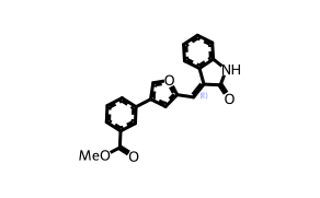 COC(=O)c1cccc(-c2coc(/C=C3/C(=O)Nc4ccccc43)c2)c1